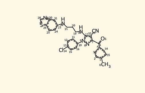 Cc1ccc(C(=O)c2nn(-c3ccc(Cl)cc3)c(NCCCNc3ccc4scnc4c3)c2C#N)cc1